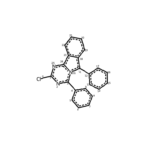 Clc1nc(-c2ccccc2)n2c(-c3ccccc3)c3ccccc3c2n1